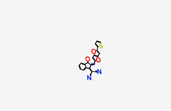 N#CC(C#N)=C1/C(=C/c2cc3oc(-c4cccs4)cc3o2)C(=O)c2ccccc21